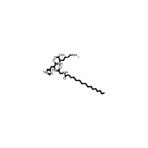 CCCCCCCCCCCCCCCC(=O)NCC(=O)NC(Cc1c[nH]cn1)C(=O)NC(CCCCN)C(=O)O